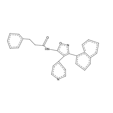 O=C(CCc1ccccc1)Nc1onc(-c2cccc3ccccc23)c1-c1ccncc1